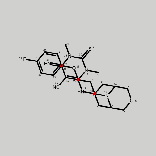 Cn1c(NC2CC3COCC(C2)N3CCCOc2ccc(F)cc2)c(C#N)c(=N)n(C)c1=S